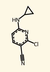 N#Cc1ccc(NC2CC2)nc1Cl